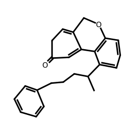 CC(CCCc1ccccc1)c1cccc2c1C1=CC(=O)CC=C1CO2